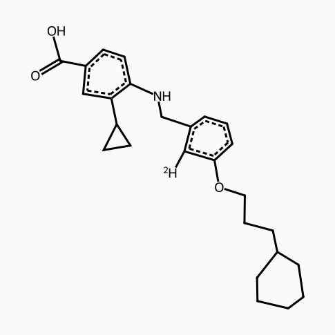 [2H]c1c(CNc2ccc(C(=O)O)cc2C2CC2)cccc1OCCCC1CCCCC1